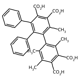 Cc1c(C)c(-c2c(C)c(C(=O)O)c(C(=O)O)c(-c3ccccc3)c2-c2ccccc2)c(C)c(C(=O)O)c1C(=O)O